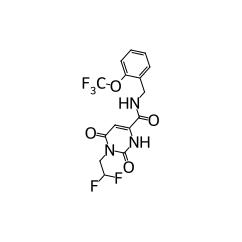 O=C(NCc1ccccc1OC(F)(F)F)c1cc(=O)n(CC(F)F)c(=O)[nH]1